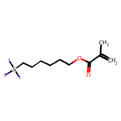 C=C(C)C(=O)OCCCCCC[Si](I)(I)I